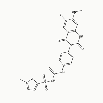 CNc1cc2[nH]c(=O)n(-c3ccc(NC(=O)NS(=O)(=O)c4ccc(C)s4)cc3)c(=O)c2cc1F